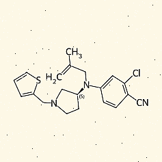 C=C(C)CN(c1ccc(C#N)c(Cl)c1)[C@H]1CCN(Cc2cccs2)C1